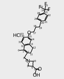 CC1=C(CN2CC(C(=O)O)C2)CCc2cc(OCCCc3ccc(C(F)(F)F)cc3)ccc21.Cl